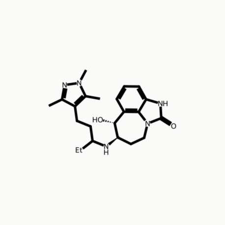 CCC(CCc1c(C)nn(C)c1C)N[C@@H]1CCn2c(=O)[nH]c3cccc(c32)[C@H]1O